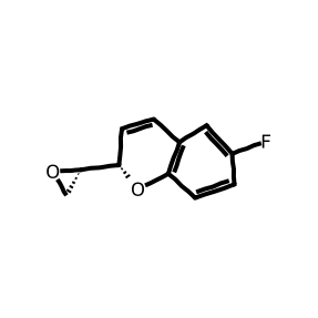 Fc1ccc2c(c1)C=C[C@@H]([C@@H]1CO1)O2